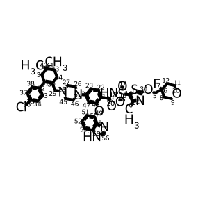 Cc1nc(OCC2(F)CCOCC2)sc1S(=O)(=O)NC(=O)c1ccc(N2CCN(CC3=C(c4ccc(Cl)cc4)CC(C)(C)CC3)CC2)cc1Oc1cccc2[nH]cnc12